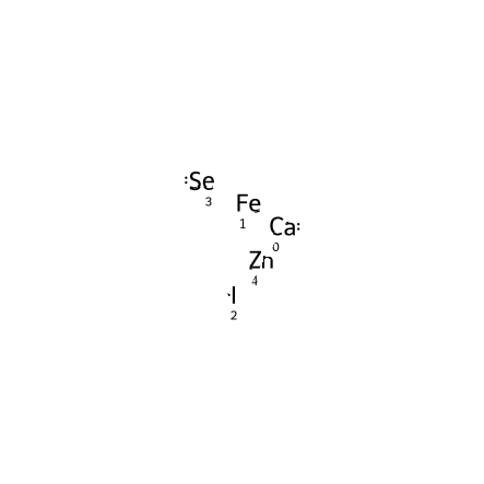 [Ca].[Fe].[I].[Se].[Zn]